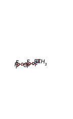 COC/C(F)=C(\F)c1ccc(-c2cc(F)c(C3CCC(C4CCC(c5cc(F)c(F)c(F)c5)CC4)OC3)c(F)c2)cc1